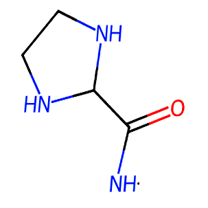 [NH]C(=O)C1NCCN1